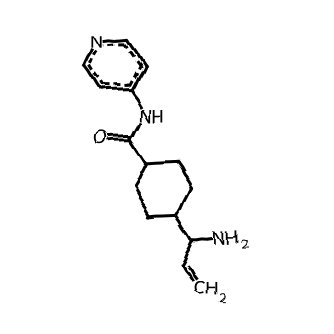 C=CC(N)C1CCC(C(=O)Nc2ccncc2)CC1